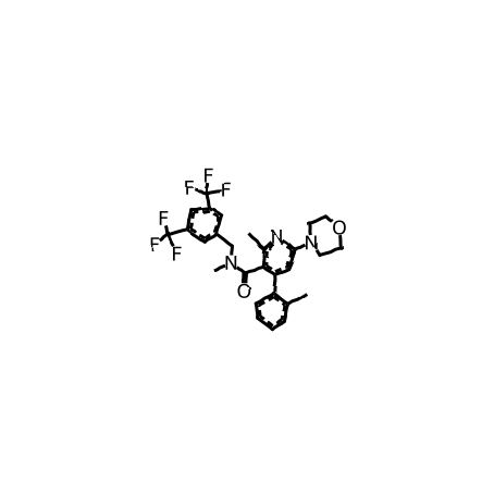 Cc1ccccc1-c1cc(N2CCOCC2)nc(C)c1C(=O)N(C)Cc1cc(C(F)(F)F)cc(C(F)(F)F)c1